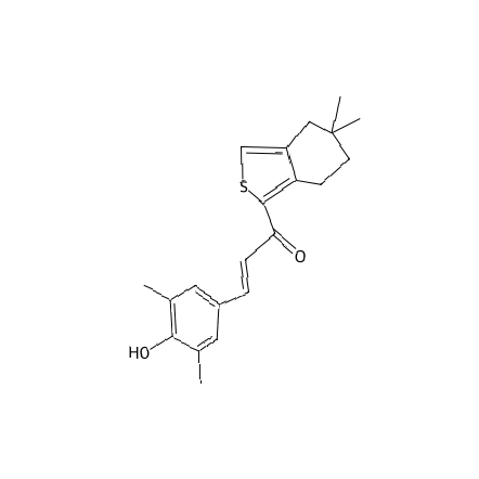 Cc1cc(/C=C/C(=O)c2scc3c2CCC(C)(C)C3)cc(C)c1O